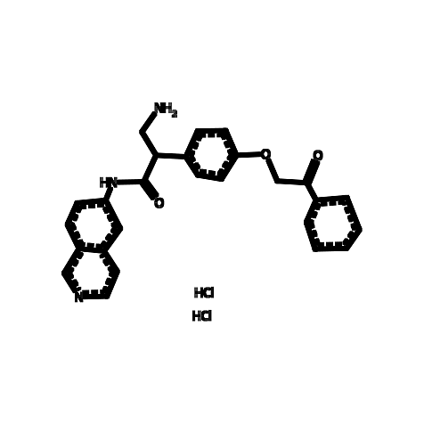 Cl.Cl.NCC(C(=O)Nc1ccc2cnccc2c1)c1ccc(OCC(=O)c2ccccc2)cc1